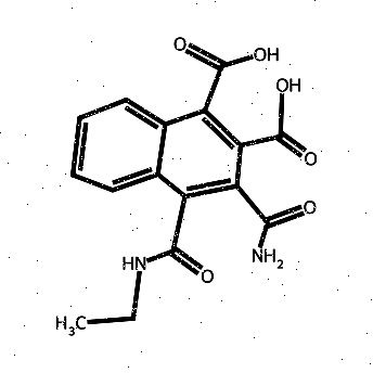 CCNC(=O)c1c(C(N)=O)c(C(=O)O)c(C(=O)O)c2ccccc12